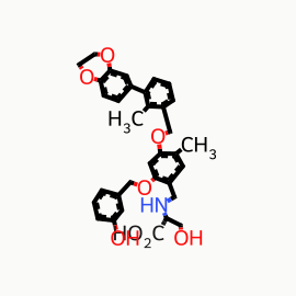 Cc1cc(CNC(CO)C(=O)O)c(OCc2cccc(O)c2)cc1OCc1cccc(-c2ccc3c(c2)OCCO3)c1C